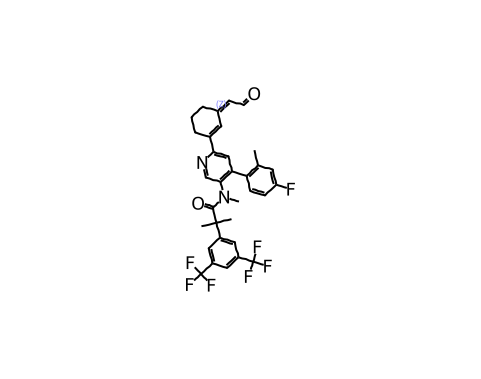 Cc1cc(F)ccc1-c1cc(C2=C/C(=C\C=O)CCC2)ncc1N(C)C(=O)C(C)(C)c1cc(C(F)(F)F)cc(C(F)(F)F)c1